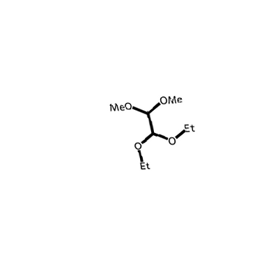 CCOC(OCC)[C](OC)OC